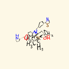 CC(C)(C)Sc1c(CC(C)(C)C(=O)O)n(Cc2ccc(-c3nccs3)cc2)c2ccc(OC[C@@H]3CCCN3)cc12